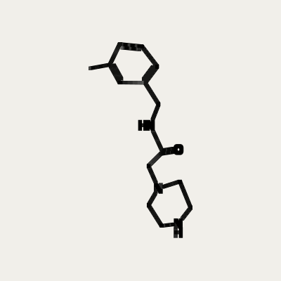 Cc1cccc(CNC(=O)CN2CCNCC2)c1